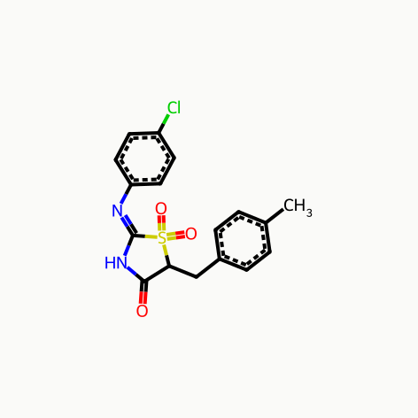 Cc1ccc(CC2C(=O)NC(=Nc3ccc(Cl)cc3)S2(=O)=O)cc1